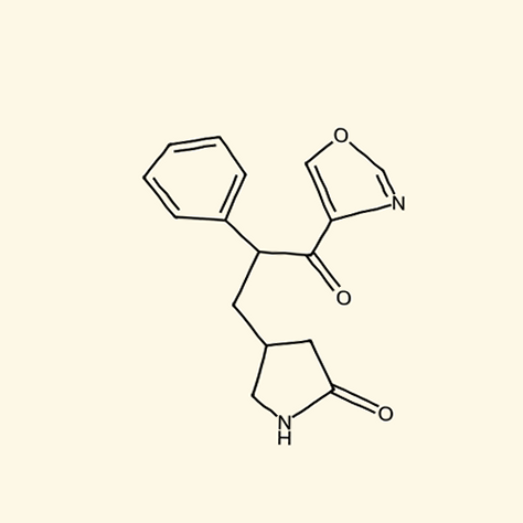 O=C1CC(CC(C(=O)c2cocn2)c2ccccc2)CN1